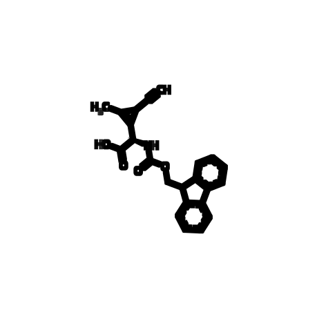 C#CC1C(C)=C1[C@@H](NC(=O)OCC1c2ccccc2-c2ccccc21)C(=O)O